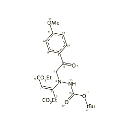 CCOC(=O)/C=C(/C(=O)OCC)N(CC(=O)c1ccc(OC)cc1)NC(=O)OC(C)(C)C